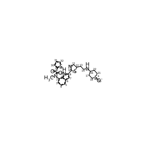 CN(c1cccc2cc(C3=NCC(CCNC4CC[S+]([O-])CC4)S3)[nH]c12)S(=O)(=O)c1cccs1